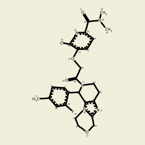 Cc1ccc(C2c3c(nc4n3CCOC4)CCN2C(=O)COc2ccc(C(=O)N(C)C)nc2Cl)c(F)c1